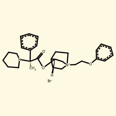 C[C@@](C(=O)O[C@H]1C[N+]2(CCOc3ccccc3)CCC1CC2)(c1ccccc1)N1CCCCC1.[Br-]